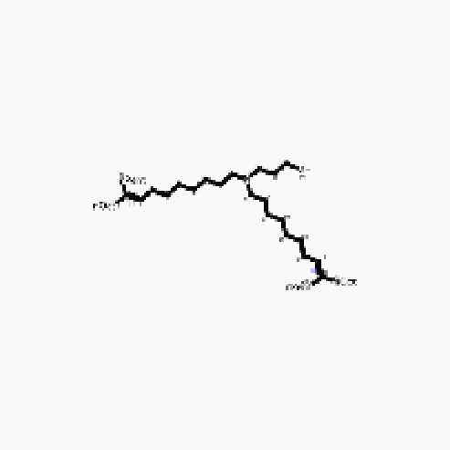 CCCCCCCC/C(=C/CCCCCCCN(CCCO)CCCCCCC/C=C(\CCCCC)CCCCCCCC)CCCCC